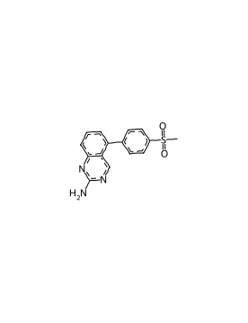 CS(=O)(=O)c1ccc(-c2cccc3nc(N)ncc23)cc1